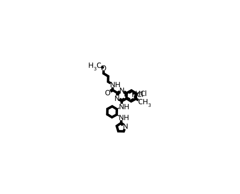 COCCCNC(=O)c1nc(N[C@H]2CCCC[C@H]2NC2=NCCC2)c2cc(C)ccc2n1.Cl.Cl